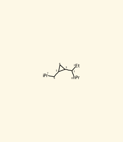 CCCC(CC)C1CC1CC(C)C